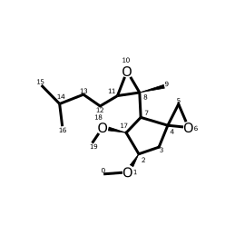 CO[C@@H]1CC2(CO2)C([C@@]2(C)OC2CCC(C)C)[C@@H]1OC